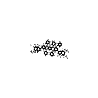 CC1(C)CCC(C)(C)c2cc(-c3cc4c5c(c3)N(c3ccccc3)c3cc6c(cc3B5c3ccccc3O4)B3c4ccccc4N(c4ccccc4)c4cc(-c5ccc7c(c5)C(C)(C)CCC7(C)C)cc(c43)N6c3ccccc3)ccc21